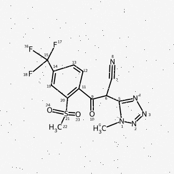 Cn1nnnc1C(C#N)C(=O)c1ccc(C(F)(F)F)cc1S(C)(=O)=O